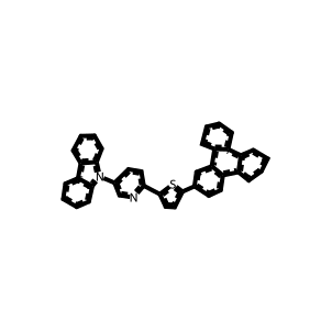 c1ccc2c(c1)c1ccccc1c1cc(-c3ccc(-c4ccc(-n5c6ccccc6c6ccccc65)cn4)s3)ccc21